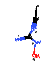 CC#[N+]C(=N)NO